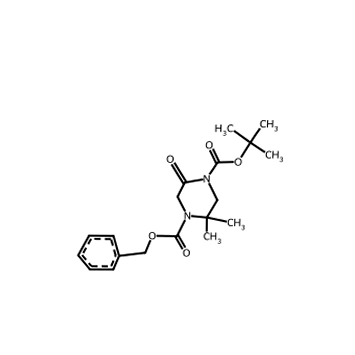 CC(C)(C)OC(=O)N1CC(C)(C)N(C(=O)OCc2ccccc2)CC1=O